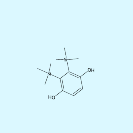 C[Si](C)(C)c1c(O)ccc(O)c1[Si](C)(C)C